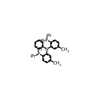 Cc1ccc(P(C(C)C)C(C)C)c(N(c2ccccc2)c2cc(C)ccc2P(C(C)C)C(C)C)c1